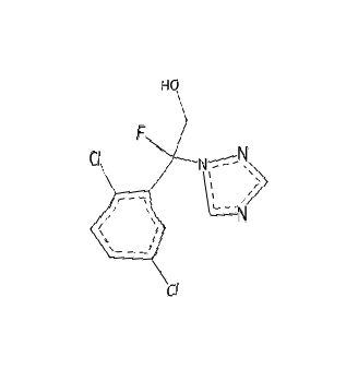 OCC(F)(c1cc(Cl)ccc1Cl)n1cncn1